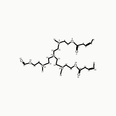 C/C=C\CC(=O)OCCN(C)CCN(CCN(C)CCOC=O)CCN(C)CCOC(=O)C/C=C\C